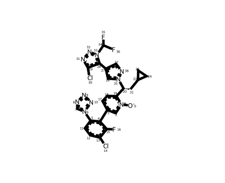 [O-][n+]1cc(-c2c(-n3cnnn3)ccc(Cl)c2F)ccc1[C@@H](CC1CC1)n1cc(-c2c(Cl)nnn2C(F)F)cn1